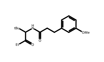 CCC(=O)C(NC(=O)CCc1cccc(OC)c1)C(C)(C)C